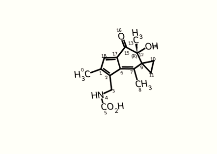 CC1=C(CNC(=O)O)C2=C(C)C3(CC3)[C@@](C)(O)C(=O)C2=C1